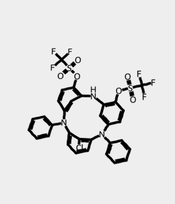 O=S(=O)(Oc1ccc2cc1Nc1cc(ccc1OS(=O)(=O)C(F)(F)F)N(c1ccccc1)c1cccc(c1Cl)N2c1ccccc1)C(F)(F)F